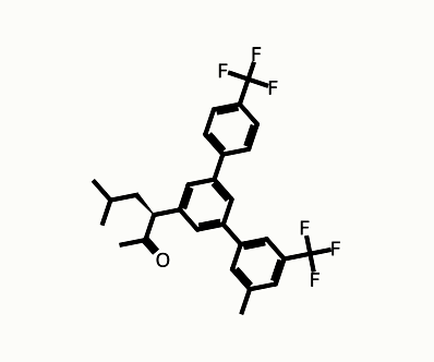 CC(=O)[C@@H](CC(C)C)c1cc(-c2ccc(C(F)(F)F)cc2)cc(-c2cc(C)cc(C(F)(F)F)c2)c1